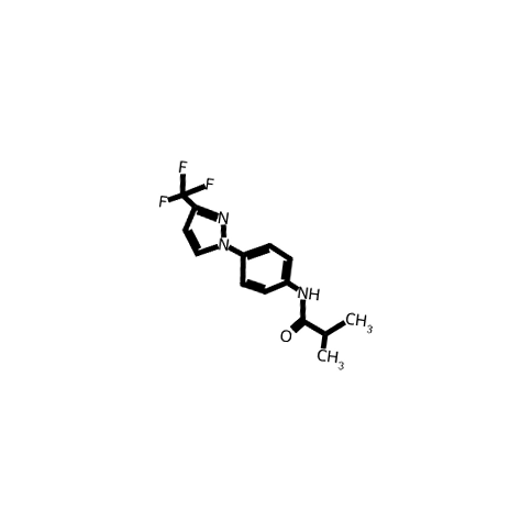 CC(C)C(=O)Nc1ccc(-n2ccc(C(F)(F)F)n2)cc1